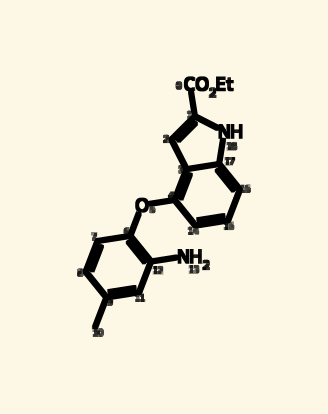 CCOC(=O)c1cc2c(Oc3ccc(C)cc3N)cccc2[nH]1